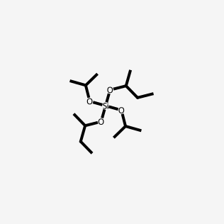 CCC(C)O[Si](OC(C)C)(OC(C)C)OC(C)CC